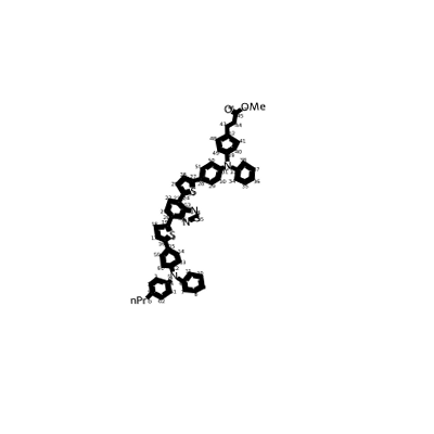 CCCc1ccc(N(c2ccccc2)c2ccc(-c3ccc(-c4ccc(-c5ccc(-c6ccc(N(c7ccccc7)c7ccc(CCC(=O)OC)cc7)cc6)s5)c5nsnc45)s3)cc2)cc1